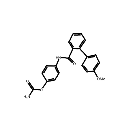 COc1ccc(-c2ccccc2C(=O)Nc2ccc(OC(N)=O)cc2)cc1